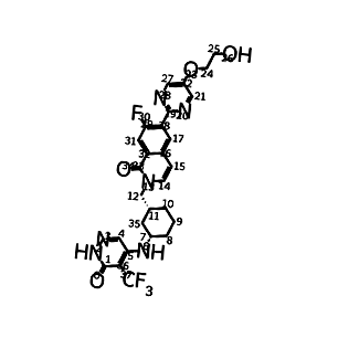 O=c1[nH]ncc(N[C@H]2CCC[C@@H](Cn3ccc4cc(-c5ncc(OCCO)cn5)c(F)cc4c3=O)C2)c1C(F)(F)F